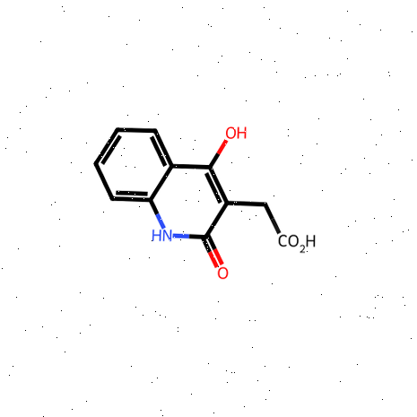 O=C(O)Cc1c(O)c2ccccc2[nH]c1=O